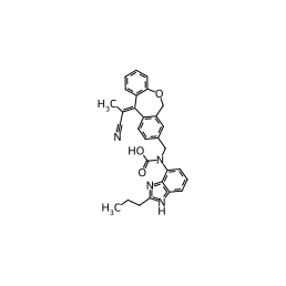 CCCc1nc2c(N(Cc3ccc4c(c3)COc3ccccc3/C4=C(\C)C#N)C(=O)O)cccc2[nH]1